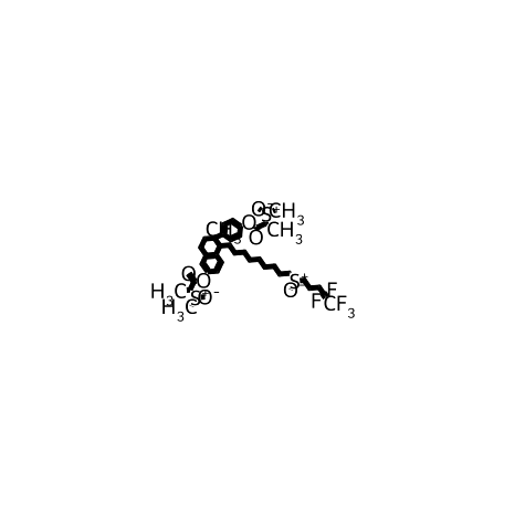 CC(C(=O)Oc1ccc(C2(C)CCc3cc(OC(=O)C(C)[S+](C)[O-])ccc3C2CCCCCCCCC[S+]([O-])CCCC(F)(F)C(F)(F)F)cc1)[S+](C)[O-]